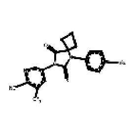 CCCCc1ccc(N2C(=S)N(c3cnc(C#N)c(C(F)(F)F)c3)C(=O)C23CCC3)cc1